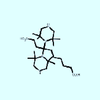 CC1(C)CNCC(C)(C)N1C(CCCCCC(=O)O)(CCC(=O)O)N1C(C)(C)CNCC1(C)C